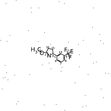 COC1=NC(c2cccc(C(F)(F)F)c2)CC1